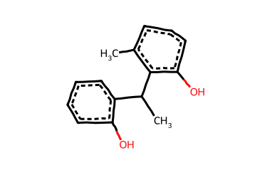 Cc1cccc(O)c1C(C)c1ccccc1O